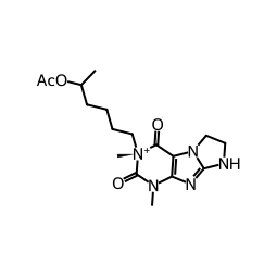 CC(=O)OC(C)CCCC[N@+]1(C)C(=O)c2c(nc3n2CCN3)N(C)C1=O